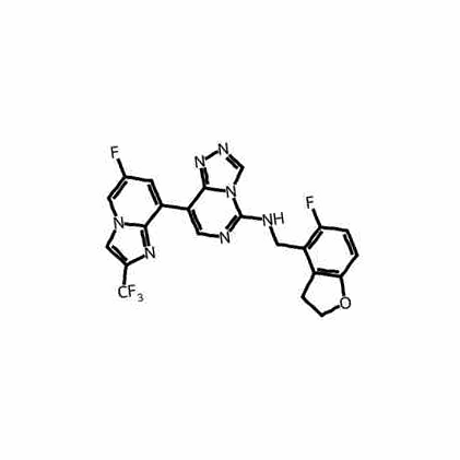 Fc1cc(-c2cnc(NCc3c(F)ccc4c3CCO4)n3cnnc23)c2nc(C(F)(F)F)cn2c1